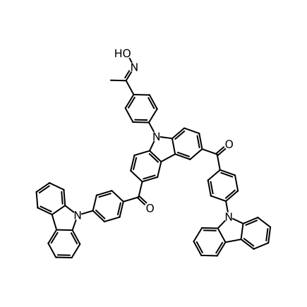 C/C(=N\O)c1ccc(-n2c3ccc(C(=O)c4ccc(-n5c6ccccc6c6ccccc65)cc4)cc3c3cc(C(=O)c4ccc(-n5c6ccccc6c6ccccc65)cc4)ccc32)cc1